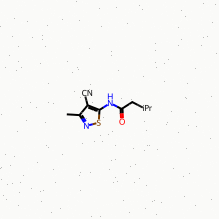 Cc1nsc(NC(=O)CC(C)C)c1C#N